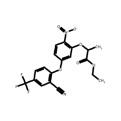 CCOC(=O)C(C)Oc1cc(Oc2ccc(C(F)(F)F)cc2C#N)ccc1[N+](=O)[O-]